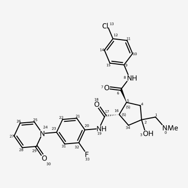 CNCC1(O)C[C@H](C(=O)Nc2ccc(Cl)cc2)[C@@H](C(=O)Nc2ccc(-n3ccccc3=O)cc2F)C1